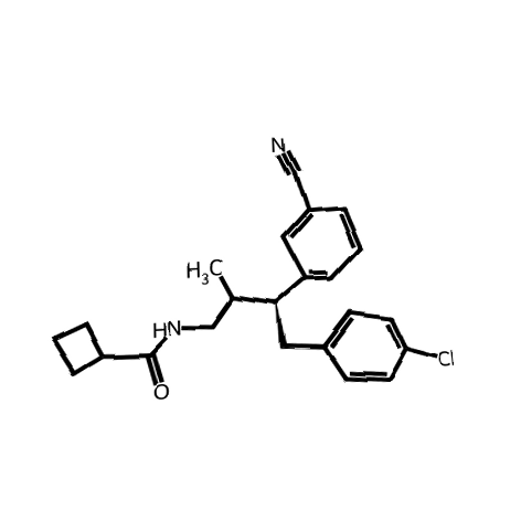 CC(CNC(=O)C1CCC1)[C@H](Cc1ccc(Cl)cc1)c1cccc(C#N)c1